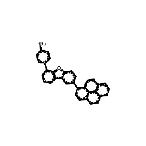 CC(C)(C)c1ccc(-c2cccc3c2oc2ccc(-c4ccc5ccc6cccc7ccc4c5c67)cc23)cc1